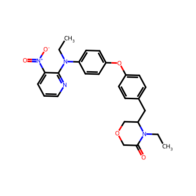 CCN(c1ccc(Oc2ccc(CC3COCC(=O)N3CC)cc2)cc1)c1ncccc1[N+](=O)[O-]